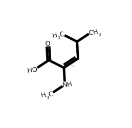 CN/C(=C/C(C)C)C(=O)O